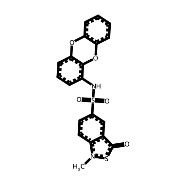 Cn1sc(=O)c2cc(S(=O)(=O)Nc3cccc4c3Oc3ccccc3O4)ccc21